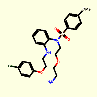 COc1ccc(S(=O)(=O)N(CCOCCN)c2ccccc2NCCOc2ccc(Cl)cc2)cc1